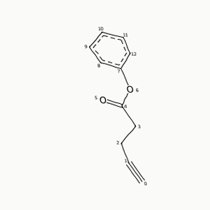 C#CCCC(=O)Oc1ccccc1